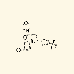 O=Cc1ccc(N2CC(c3ccc(C(F)(F)F)cc3)CC[C@H]2C(=O)N2CCOCC2)cc1